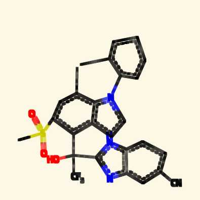 Cc1ccccc1-n1ccc2c(C(O)(c3nc4cc(C#N)ccc4[nH]3)C(F)(F)F)c(S(C)(=O)=O)cc(C)c21